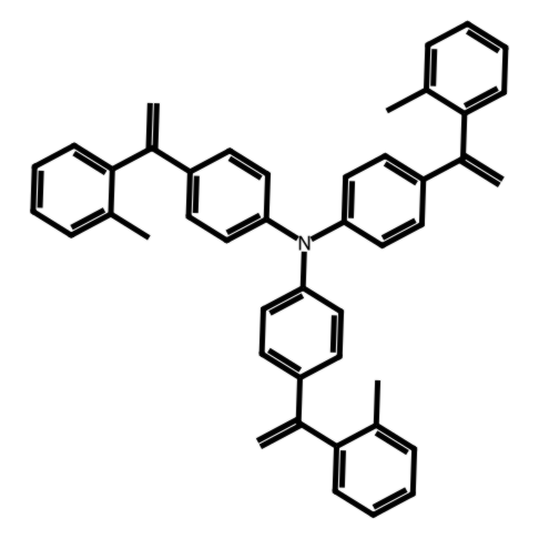 C=C(c1ccc(N(c2ccc(C(=C)c3ccccc3C)cc2)c2ccc(C(=C)c3ccccc3C)cc2)cc1)c1ccccc1C